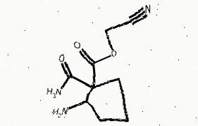 N#CCOC(=O)C1(C(N)=O)CCCCC1N